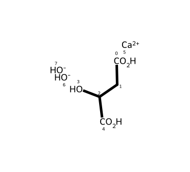 O=C(O)CC(O)C(=O)O.[Ca+2].[OH-].[OH-]